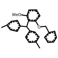 COc1c[c]cc(OCc2ccccc2)c1C(c1ccc(C)cc1)c1ccc(C)cc1